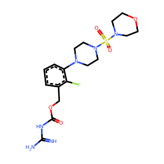 N=C(N)NC(=O)OCc1cccc(N2CCN(S(=O)(=O)N3CCOCC3)CC2)c1F